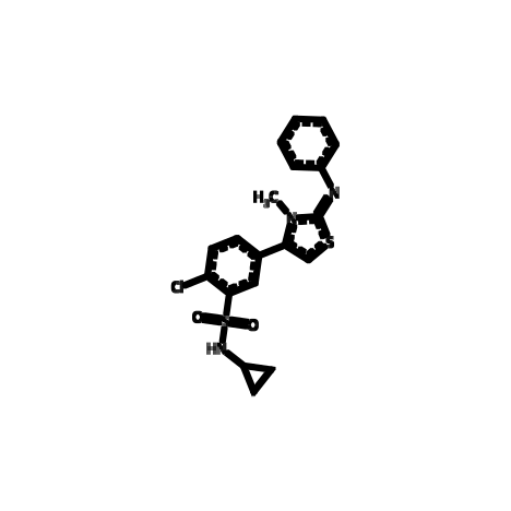 Cn1c(-c2ccc(Cl)c(S(=O)(=O)NC3CC3)c2)cs/c1=N/c1ccccc1